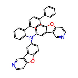 c1ccc(-c2ccc(-c3ccccc3N(c3ccc4oc5ccncc5c4c3)c3ccc4oc5ccncc5c4c3)cc2)cc1